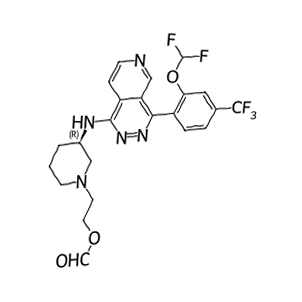 O=COCCN1CCC[C@@H](Nc2nnc(-c3ccc(C(F)(F)F)cc3OC(F)F)c3cnccc23)C1